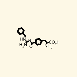 N/C(=N\C(=O)c1ccc(C[C@H](N)C(=O)O)cc1)NCc1ccccc1